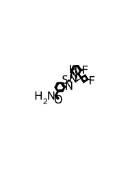 NC(=O)c1ccc2sc(NC[C@]3(c4ncccc4F)C[C@H](F)C3)nc2c1